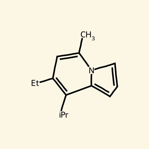 CCc1cc(C)n2cccc2c1C(C)C